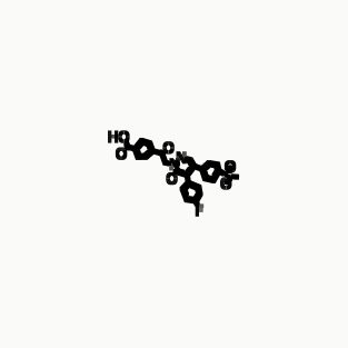 CS(=O)(=O)c1ccc(-c2cnn(CC(=O)c3ccc(C(=O)O)cc3)c(=O)c2-c2ccc(F)cc2)cc1